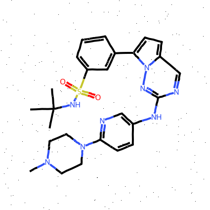 CN1CCN(c2ccc(Nc3ncc4ccc(-c5cccc(S(=O)(=O)NC(C)(C)C)c5)n4n3)cn2)CC1